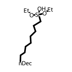 CCCCCCCCCCCCCCCCCC[Si](O)(OCC)OCC